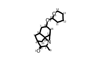 CC1C(=O)C2CC3CC(OC4CCCCO4)CC4N1C34C2